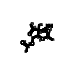 CC(=O)OCC(OC(C)=O)C(C)(N=N)C(C)=O